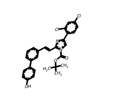 CC(C)(C)OC(=O)n1cc(-c2ccc(Cl)cc2Cl)nc1C=Cc1cccc(-c2ccc(O)cc2)c1